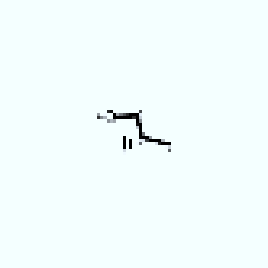 CCC[O].[Ti]